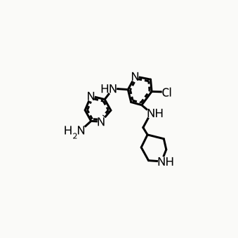 Nc1cnc(Nc2cc(NCC3CCNCC3)c(Cl)cn2)cn1